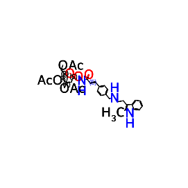 CC(=O)OC[C@H]1O[C@@H](ONC(=O)/C=C/c2ccc(CNCCc3c(C)[nH]c4ccccc34)cc2)C[C@@H](OC(C)=O)[C@H]1OC(C)=O